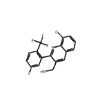 OCc1cc2cccc(Cl)c2nc1-c1cc(F)ccc1C(F)(F)F